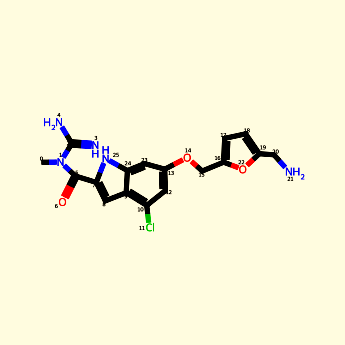 CN(C(=N)N)C(=O)c1cc2c(Cl)cc(OCc3ccc(CN)o3)cc2[nH]1